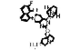 CCc1c(F)ccc2cccc(N3CCc4c(nc(OC[C@@]56CCCN5C[C@H](C)C6)nc4[C@@H]4C[C@H]5CC[C@@H](C4)N5)C3)c12